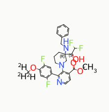 [2H]C([2H])([2H])Oc1cc(F)c(-c2nccc(C(=O)OC)c2N2CCC[C@](NCc3ccccc3)([C@H](O)C(F)F)C2)cc1F